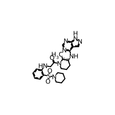 C[C@H]1[C@@H](Nc2ncnc3[nH]ncc23)CCCN1C(=O)CNc1ccccc1S(=O)(=O)N1CCCCC1